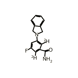 [2H]c1c(F)cc(N2Cc3ccccc3C2)c([2H])c1C(N)=O